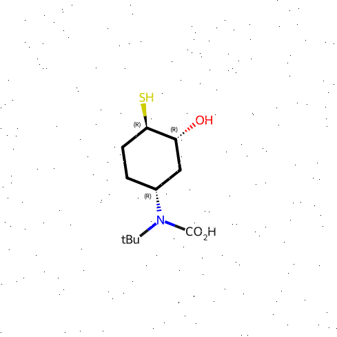 CC(C)(C)N(C(=O)O)[C@@H]1CC[C@@H](S)[C@H](O)C1